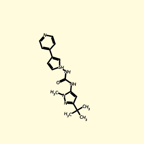 Cn1nc(C(C)(C)C)cc1NC(=O)N[SH]1C=CC(c2ccncc2)=C1